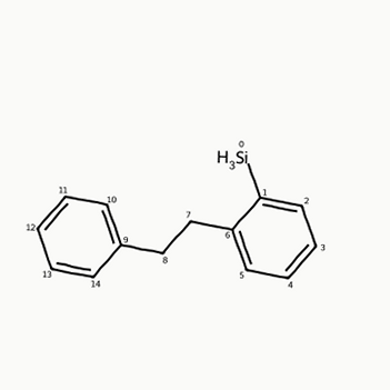 [SiH3]c1ccccc1CCc1ccccc1